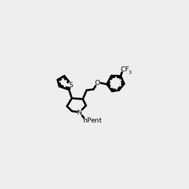 CCCCCN1CCC(c2cccs2)C(CCOc2cccc(C(F)(F)F)c2)C1